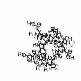 CC(C)C[C@H](NC(=O)[C@H](CC(C)C)NC(=O)[C@H](Cc1c[nH]c2ccccc12)NC(=O)[C@@H](N)CCC(=O)O)C(=O)N[C@@H](CCC(=O)O)C(=O)NCC(=O)NCC(=O)N1CCC[C@H]1C(=O)N[C@@H](CO)C(=O)N[C@@H](CO)C(=O)NCC(=O)O